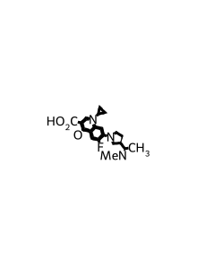 CN[C@@H](C)[C@@H]1CCN(c2cc3c(cc2F)c(=O)c(C(=O)O)cn3C2CC2)C1